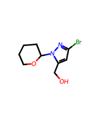 OCc1cc(Br)nn1C1CCCCO1